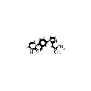 CN(C)Cc1nccn1-c1ccc(N2C=CCNC2=O)c(F)c1